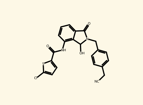 N#CCc1ccc(CN2C(=O)c3cccc(NC(=O)c4ccc(Cl)s4)c3C2O)cc1